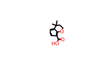 CC1(C)CCOc2c(C(=O)O)cccc21